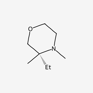 CC[C@]1(C)COCCN1C